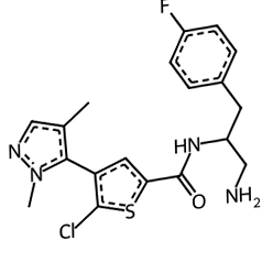 Cc1cnn(C)c1-c1cc(C(=O)NC(CN)Cc2ccc(F)cc2)sc1Cl